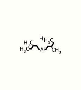 CCC(C)C[CH2][Al+][CH2]CC(C)CC.[H-]